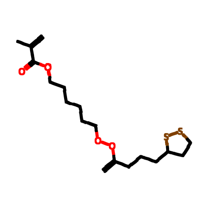 C=C(CCCC1CCSS1)OOCCCCCCOC(=O)C(=C)C